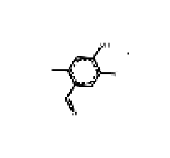 Cc1cc(O)c(F)cc1C=O